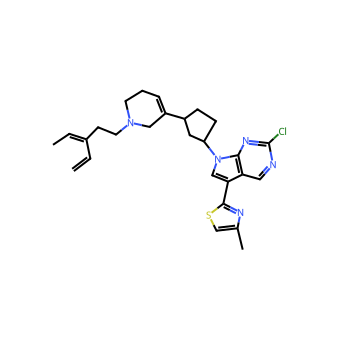 C=C/C(=C\C)CCN1CCC=C(C2CCC(n3cc(-c4nc(C)cs4)c4cnc(Cl)nc43)C2)C1